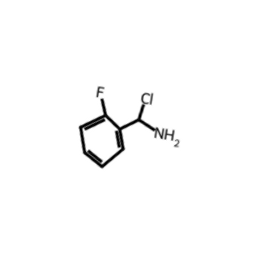 NC(Cl)c1ccccc1F